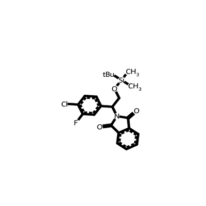 CC(C)(C)[Si](C)(C)OCC(c1ccc(Cl)c(F)c1)N1C(=O)c2ccccc2C1=O